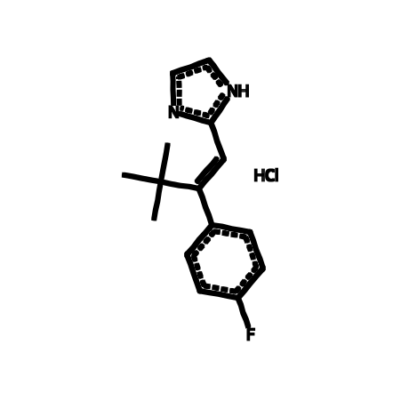 CC(C)(C)C(=Cc1ncc[nH]1)c1ccc(F)cc1.Cl